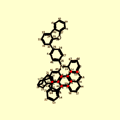 C1=CC(c2ccc3c(c2)C2(c4ccccc4-3)C3CC4CC(C3)C2C4)C(N(c2ccc(-c3cccc4c3oc3ccccc34)cc2)c2ccccc2-c2cccc3cccc(C4CCCCC4)c23)C=C1